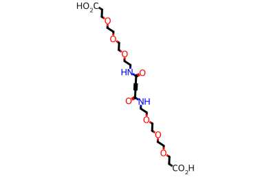 O=C(O)CCOCCOCCOCCNC(=O)C#CC(=O)NCCOCCOCCOCCC(=O)O